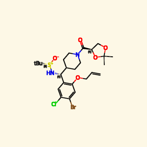 C=CCOc1cc(Br)c(Cl)cc1[C@H](N[S@@+]([O-])C(C)(C)C)C1CCN(C(=O)[C@H]2COC(C)(C)O2)CC1